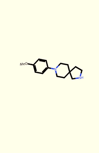 COc1ccc(N2CCC3(CCNC3)CC2)cc1